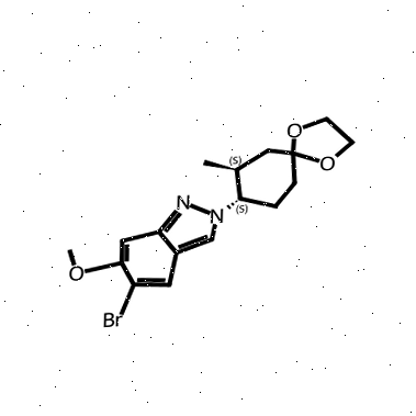 COc1cc2nn([C@H]3CCC4(C[C@@H]3C)OCCO4)cc2cc1Br